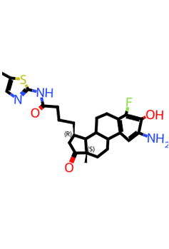 Cc1cnc(NC(=O)CCC[C@@H]2CC(=O)[C@@]3(C)CCC4c5cc(N)c(O)c(F)c5CCC4C23)s1